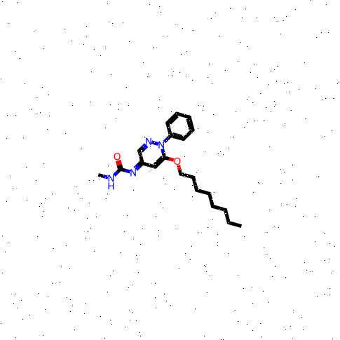 CCCCCCCCOc1c/c(=N/C(=O)NC)cnn1-c1ccccc1